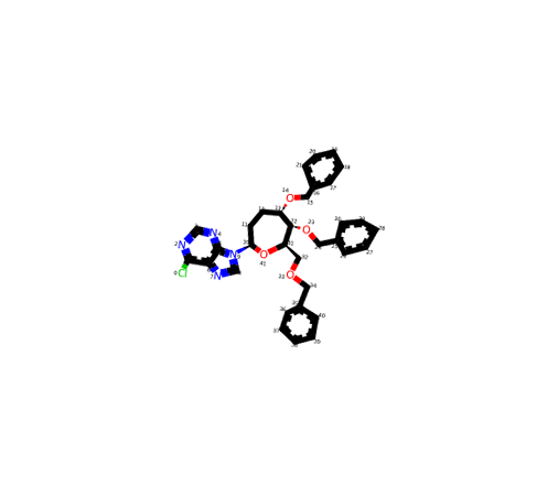 Clc1ncnc2c1ncn2[C@H]1CC[C@H](OCc2ccccc2)[C@H](OCc2ccccc2)[C@@H](COCc2ccccc2)O1